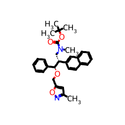 Cc1cc(CO[C@H](c2ccccc2)[C@H](CN(C)C(=O)OC(C)(C)C)c2ccc3ccccc3c2)on1